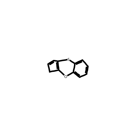 C1=CC2=C(C1)Oc1ccccc1S2